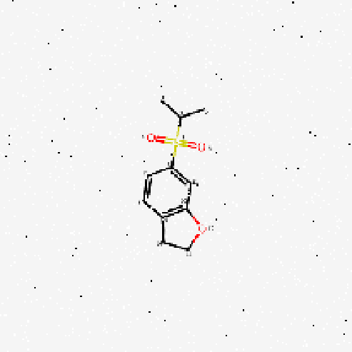 CC(C)S(=O)(=O)c1ccc2c(c1)OCC2